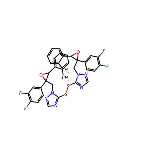 Cc1ccccc1C1OC1(Cn1ncnc1SSc1ncnn1CC1(c2ccc(F)c(F)c2)OC1c1ccccc1C)c1ccc(F)c(F)c1